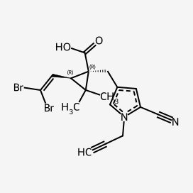 C#CCn1cc(C[C@@]2(C(=O)O)[C@H](C=C(Br)Br)C2(C)C)cc1C#N